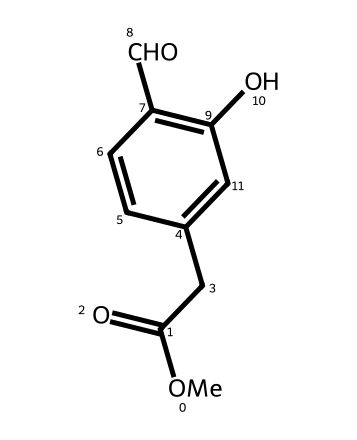 COC(=O)Cc1ccc(C=O)c(O)c1